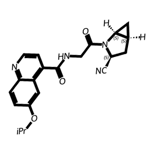 CC(C)Oc1ccc2nccc(C(=O)NCC(=O)N3[C@H](C#N)C[C@@H]4C[C@@H]43)c2c1